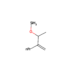 C=C(CCC)C(C)O[SiH3]